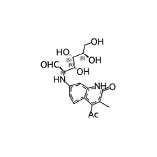 CC(=O)c1c(C)c(=O)[nH]c2cc(N[C@@H](C=O)[C@@H](O)[C@H](O)[C@H](O)CO)ccc12